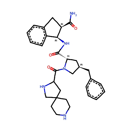 NC(=O)[C@@H]1Cc2ccccc2[C@@H]1NC(=O)[C@@H]1C[C@@H](Cc2ccccc2)CN1C(=O)C1CC2(CCNCC2)CN1